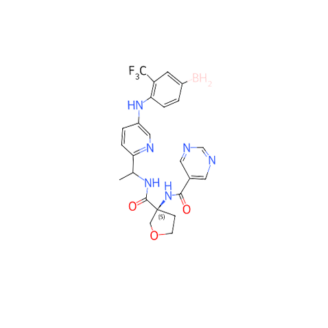 Bc1ccc(Nc2ccc(C(C)NC(=O)[C@]3(NC(=O)c4cncnc4)CCOC3)nc2)c(C(F)(F)F)c1